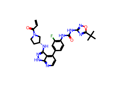 C=CC(=O)N1CC[C@@H](Nc2n[nH]c3nccc(-c4ccc(NC(=O)Nc5noc(C(C)(C)C)n5)c(F)c4)c23)C1